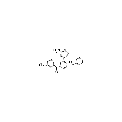 Nc1nccc(-c2cc(C(=O)c3cccc(CCl)c3)ccc2OCc2ccccc2)n1